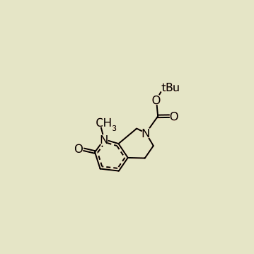 Cn1c2c(ccc1=O)CCN(C(=O)OC(C)(C)C)C2